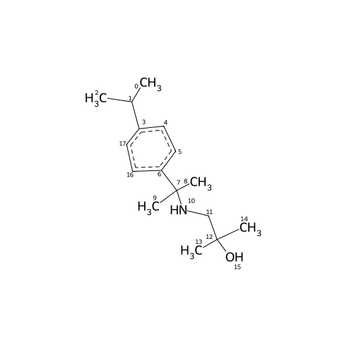 CC(C)c1ccc(C(C)(C)NCC(C)(C)O)cc1